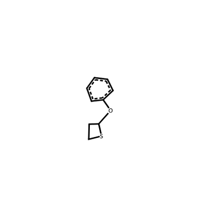 c1ccc(OC2CCS2)cc1